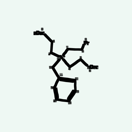 CCCCCCCCCCCC[N+](CCCCCCCCCCCC)(CCC(C)C)Cc1ccccc1